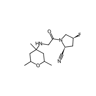 CC1CC(C)(NCC(=O)N2C[C@@H](F)C[C@H]2C#N)CC(C)O1